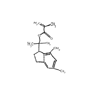 C=C(C)C(=O)OC(C)(C)C1CCc2cc(C)cc(C)c21